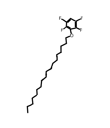 CCCCCCCCCCCCCCCCCCOc1c(F)c(F)cc(F)c1F